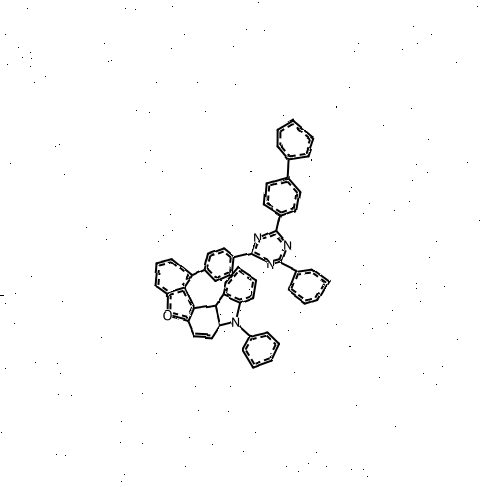 C1=CC2C(c3ccccc3N2c2ccccc2)c2c1oc1cccc(-c3ccc(-c4nc(-c5ccccc5)nc(-c5ccc(-c6ccccc6)cc5)n4)cc3)c21